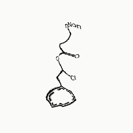 CCCCCCCCCCCC(=O)OC(Cl)Cc1ccccc1